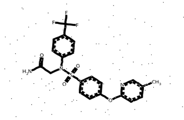 Cc1ccc(Oc2ccc(S(=O)(=O)N(CC(N)=O)c3ccc(C(F)(F)F)cc3)cc2)nc1